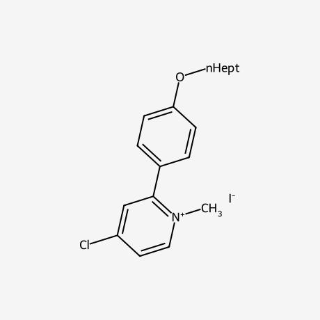 CCCCCCCOc1ccc(-c2cc(Cl)cc[n+]2C)cc1.[I-]